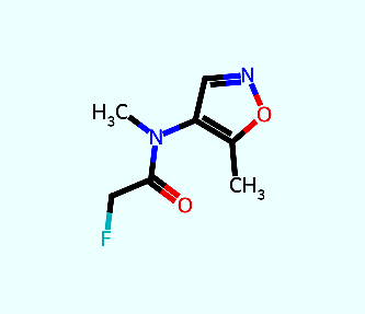 Cc1oncc1N(C)C(=O)CF